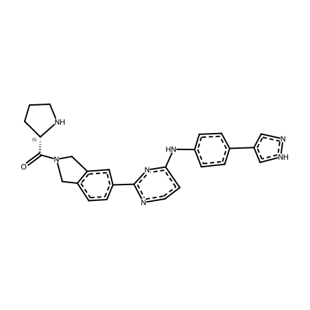 O=C([C@@H]1CCCN1)N1Cc2ccc(-c3nccc(Nc4ccc(-c5cn[nH]c5)cc4)n3)cc2C1